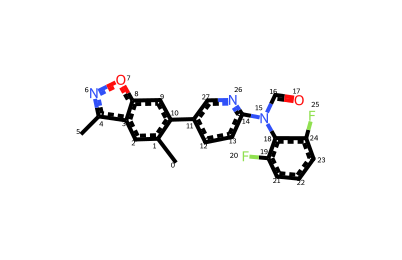 Cc1cc2c(C)noc2cc1-c1ccc(N(C=O)c2c(F)cccc2F)nc1